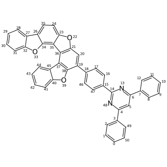 c1ccc(-c2cc(-c3ccccc3)nc(-c3ccc(-c4cc5oc6ccc7c8ccccc8oc7c6c5c5c4oc4ccccc45)cc3)n2)cc1